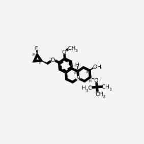 COc1cc2c(cc1OC[C@H]1C[C@H]1F)CCN1C[C@@H](OC(C)(C)C)[C@H](O)C[C@H]21